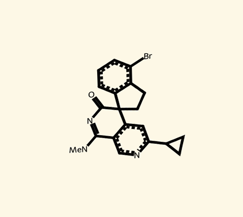 CNC1=NC(=O)C2(CCc3c(Br)cccc32)c2cc(C3CC3)ncc21